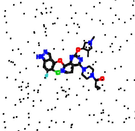 C=CC(=O)N1CCN(c2nc(OC3CN(C)CC3C)nc3c(Oc4c(Cl)c(F)cc5[nH]ncc45)nccc23)CC1